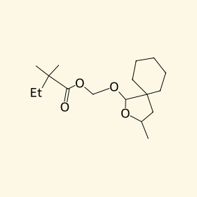 CCC(C)(C)C(=O)OCOC1OC(C)CC12CCCCC2